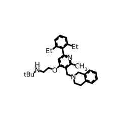 CCc1cccc(CC)c1-c1cc(OCCNC(C)(C)C)c(CN2CCc3ccccc3C2)c(C)n1